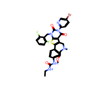 CCNC(=O)Nc1ccc(-c2sc3c(c2CN(C)CCOC)c(=O)n(-c2ccc(Br)cn2)c(=O)n3Cc2c(F)cccc2F)cc1